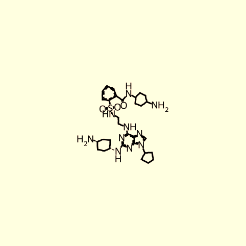 NC1CCC(NC(=O)c2ccccc2S(=O)(=O)NCCNc2nc(N[C@H]3CC[C@H](N)CC3)nc3c2ncn3C2CCCC2)CC1